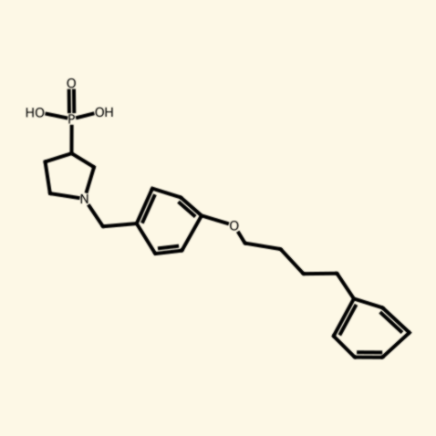 O=P(O)(O)C1CCN(Cc2ccc(OCCCCc3ccccc3)cc2)C1